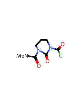 CNC(=O)N1CCCN(C(=O)Cl)C1=O